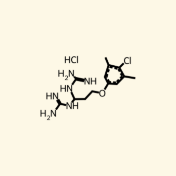 Cc1cc(OCCC(NC(=N)N)NC(=N)N)cc(C)c1Cl.Cl